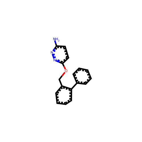 Nc1ccc(OCc2ccccc2-c2ccccc2)nn1